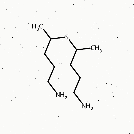 CC(CCCN)SC(C)CCCN